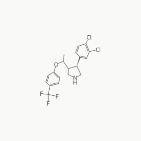 CC(Oc1ccc(C(F)(F)F)cc1)C1CNC[C@@H]1c1ccc(Cl)c(Cl)c1